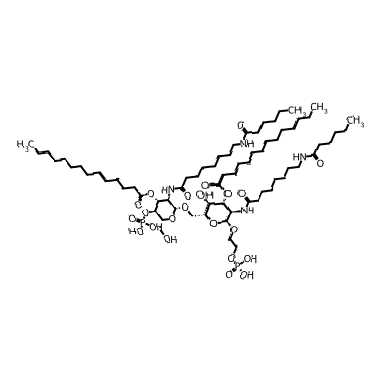 CCCCCCCCCCCCCC(=O)O[C@@H]1[C@@H](NC(=O)CCCCCCCNC(=O)CCCCC)[C@H](OC[C@H]2O[C@H](OCCOP(=O)(O)O)[C@H](NC(=O)CCCCCCCNC(=O)CCCCC)[C@@H](OC(=O)CCCCCCCCCCCCC)[C@@H]2O)O[C@H](CO)[C@H]1OP(=O)(O)O